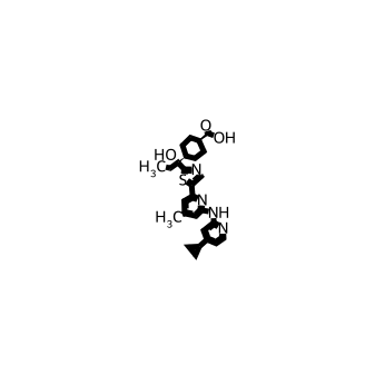 CCC(O)(c1ncc(-c2cc(C)cc(Nc3cc(C4CC4)ccn3)n2)s1)[C@H]1CC[C@H](C(=O)O)CC1